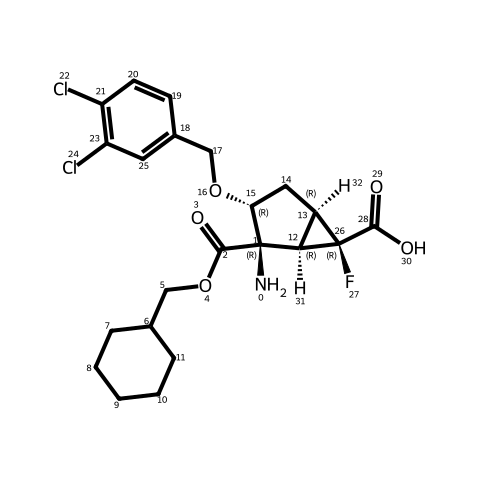 N[C@]1(C(=O)OCC2CCCCC2)[C@H]2[C@@H](C[C@H]1OCc1ccc(Cl)c(Cl)c1)[C@]2(F)C(=O)O